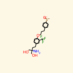 C[S+]([O-])c1ccc(CCCOc2ccc(CCC(N)(CO)CO)cc2C(F)(F)F)cc1